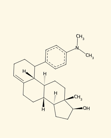 CN(C)c1ccc(C2CCC=C3CC[C@@H]4[C@H](CC[C@]5(C)[C@@H](O)CC[C@@H]45)[C@H]32)cc1